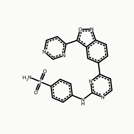 NS(=O)(=O)c1ccc(Nc2nccc(-c3ccc4noc(-c5ccncn5)c4c3)n2)cc1